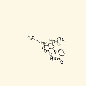 CCCCNC(=O)c1cc(NC(C)=O)cc(Sc2ccccc2C(=O)O)c1C(=O)O